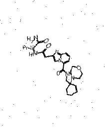 CC(C)[C@H](NC(=O)Cc1cn2c(C(=O)NCC3(N4CCOCC4)CCCCC3)cccc2n1)C(N)=O